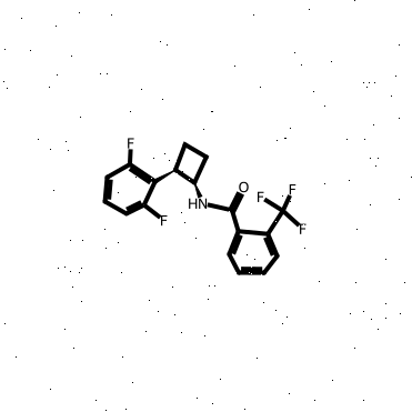 O=C(N[C@@H]1CC[C@@H]1c1c(F)cccc1F)c1ccccc1C(F)(F)F